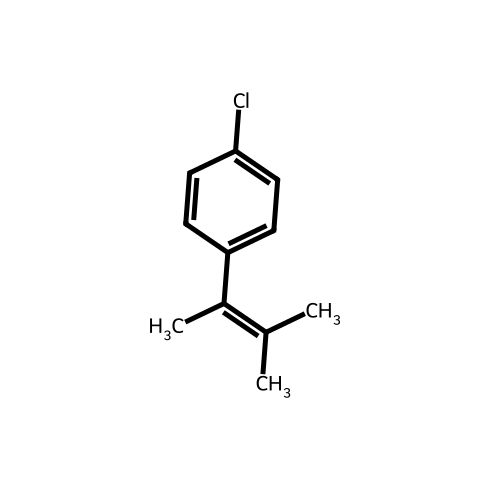 CC(C)=C(C)c1ccc(Cl)cc1